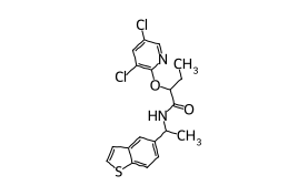 CCC(Oc1ncc(Cl)cc1Cl)C(=O)NC(C)c1ccc2sccc2c1